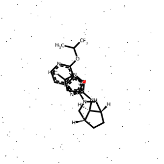 Cc1cc(N2C[C@H]3CC[C@@H](C2)[C@@H]3Nc2nc3c(OC(C)C(F)(F)F)nccn3n2)sn1